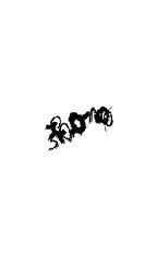 CC(=O)c1cscc1OCc1ccc(CN2C[C@@H](C)O[C@@H](C)C2)cc1